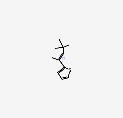 C/C(=C\C(C)(C)C)c1cccs1